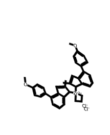 COc1ccc(-c2cccc3c2C=C(C)[CH]3[Zr+2]2([CH]3C(C)=Cc4c(-c5ccc(OC)cc5)cccc43)[CH2]C[CH2]2)cc1.[Cl-].[Cl-]